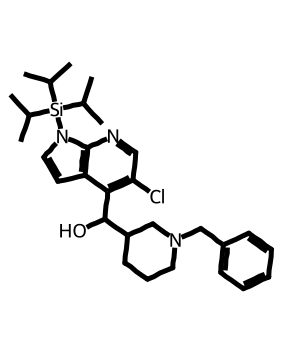 CC(C)[Si](C(C)C)(C(C)C)n1ccc2c(C(O)C3CCCN(Cc4ccccc4)C3)c(Cl)cnc21